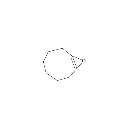 C1CCCC2=C(CC1)O2